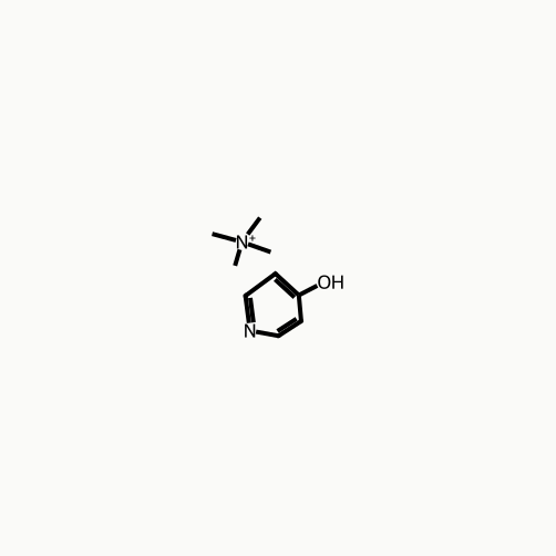 C[N+](C)(C)C.Oc1ccncc1